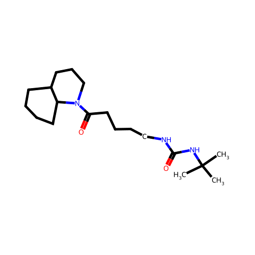 CC(C)(C)NC(=O)NCCCCC(=O)N1CCCC2CCCCC21